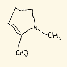 CN1CCC=C1C=O